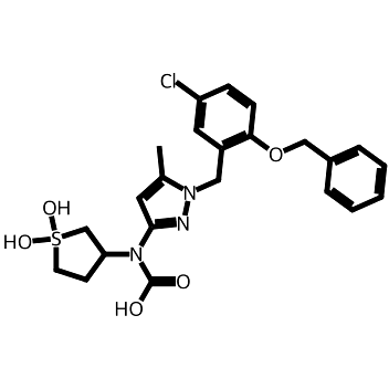 Cc1cc(N(C(=O)O)C2CCS(O)(O)C2)nn1Cc1cc(Cl)ccc1OCc1ccccc1